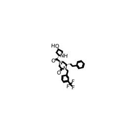 O=C([C@@H]1C[C@@H](O)CN1)N1CC(=O)N(Cc2cccc(C(F)(F)F)c2)[C@@H](CCc2ccccc2)C1